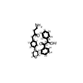 NCCC(=O)Cc1ccc(N2CCOCC2)cc1.O=C(c1ccccc1)C(O)c1ccccc1